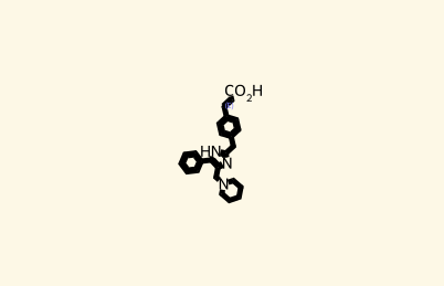 O=C(O)/C=C/c1ccc(Cc2nc(CN3CCCCC3)c(-c3ccccc3)[nH]2)cc1